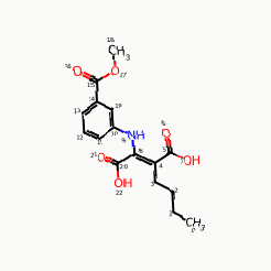 CCCCC(C(=O)O)=C(Nc1cccc(C(=O)OC)c1)C(=O)O